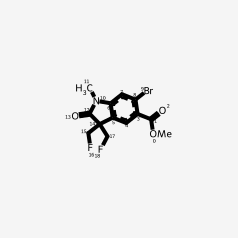 COC(=O)c1cc2c(cc1Br)N(C)C(=O)C2(CF)CF